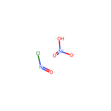 O=NCl.O=[N+]([O-])O